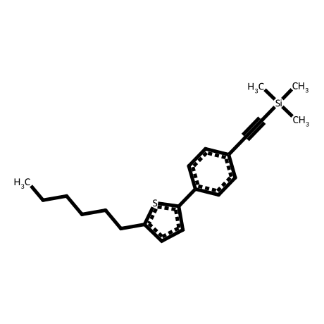 CCCCCCc1ccc(-c2ccc(C#C[Si](C)(C)C)cc2)s1